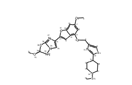 COc1cc(OCc2csc(C3CCN(SC)CC3)n2)c2cc(-c3cn4c(n3)SC(OC)N4)oc2c1